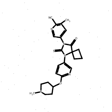 Cc1cc(N2C(=O)C3(CCC3)N(c3ccc(OC4CCN(C)CC4)nc3)C2=S)cnc1C#N